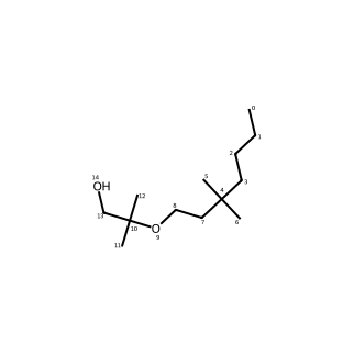 CCCCC(C)(C)CCOC(C)(C)CO